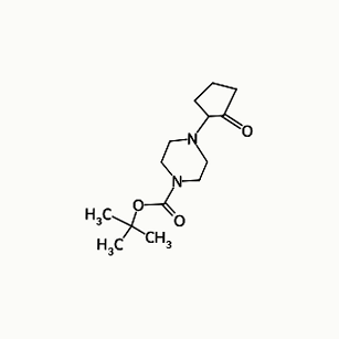 CC(C)(C)OC(=O)N1CCN(C2CCCC2=O)CC1